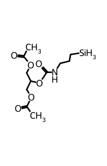 CC(=O)OCC(COC(C)=O)OC(=O)NCCC[SiH3]